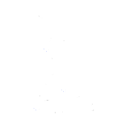 CC(=O)SCC(=O)NCCCCC(NC(=O)CSC(C)=O)C(=O)SN